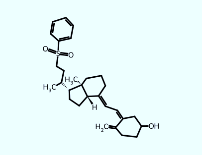 C=C1CCC(O)C/C1=C/C=C1\CCC[C@]2(C)[C@@H](C(C)CCS(=O)(=O)c3ccccc3)CC[C@@H]12